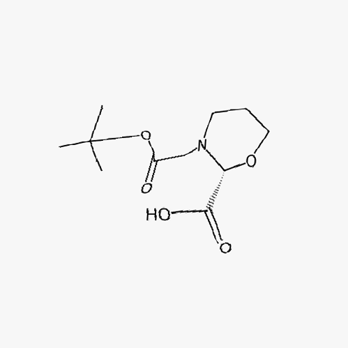 CC(C)(C)OC(=O)N1CCCO[C@@H]1C(=O)O